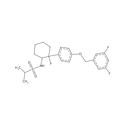 CC(C)S(=O)(=O)NC1CCCCC1(F)c1ccc(OCc2cc(F)cc(F)c2)cc1